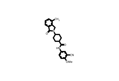 COc1ccc(NC(=O)C2CCC(N3Cc4c(C)cccc4C3=O)CC2)cc1C#N